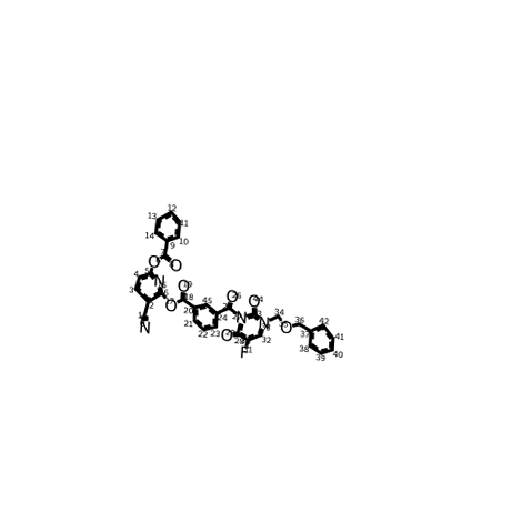 N#Cc1ccc(OC(=O)c2ccccc2)nc1OC(=O)c1cccc(C(=O)n2c(=O)c(F)cn(COCc3ccccc3)c2=O)c1